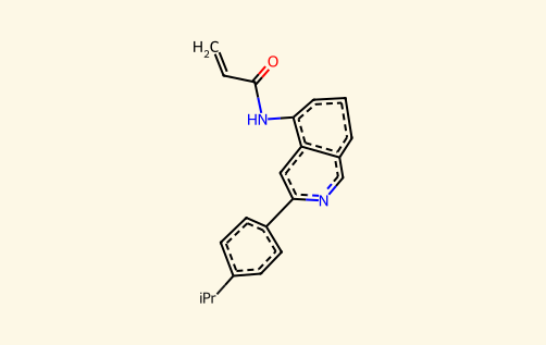 C=CC(=O)Nc1cccc2cnc(-c3ccc(C(C)C)cc3)cc12